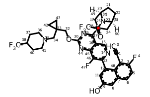 C#Cc1c(F)ccc2cc(O)cc(-c3ncc4c(N5C[C@H]6CC[C@@H](C5)N6C(=O)C(F)(F)F)nc(OCC5(CN6CCC(C(F)(F)F)CC6)CC5)nc4c3F)c12